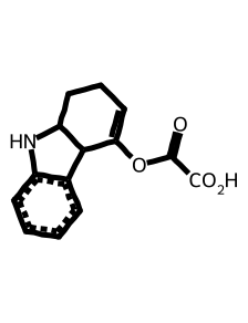 O=C(O)C(=O)OC1=CCCC2Nc3ccccc3C12